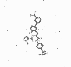 Cn1cnnc1-c1ccc(NC(=O)C(Cc2cc(-c3cccc(C(F)F)c3)ccc2Cl)NC(=O)c2ccnn2C)cc1